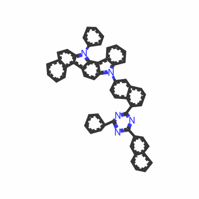 c1ccc(-c2nc(-c3ccc4ccccc4c3)nc(-c3cccc4cc(-n5c6ccccc6c6c5ccc5c7c8ccccc8ccc7n(-c7ccccc7)c56)ccc34)n2)cc1